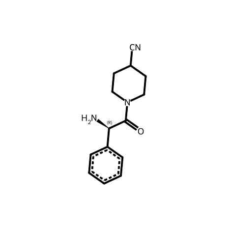 N#CC1CCN(C(=O)[C@H](N)c2ccccc2)CC1